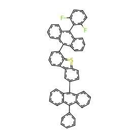 Fc1cccc(F)c1-c1c2ccccc2c(-c2cccc3c2sc2ccc(-c4c5ccccc5c(-c5ccccc5)c5ccccc45)cc23)c2ccccc12